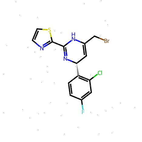 Fc1ccc([C@H]2C=C(CBr)NC(c3nccs3)=N2)c(Cl)c1